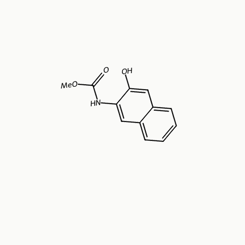 COC(=O)Nc1cc2ccccc2cc1O